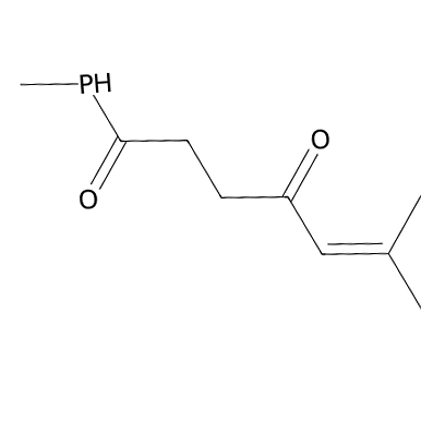 CPC(=O)CCC(=O)C=C(C)C